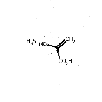 C=C(C#N)C(=O)O.[SiH4]